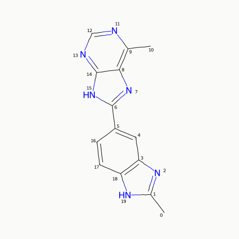 Cc1nc2cc(-c3nc4c(C)ncnc4[nH]3)ccc2[nH]1